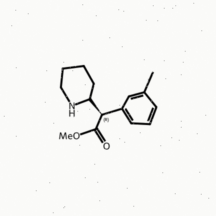 COC(=O)[C@H](c1cccc(C)c1)C1CCCCN1